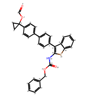 O=COC1(c2ccc(-c3ccc(-c4c(NC(=O)OCc5ccccc5)sc5ccccc45)cc3)cc2)CC1